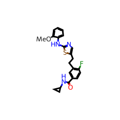 COc1ccccc1Nc1ncc(CCc2cc(C(=O)NC3CC3)ccc2F)s1